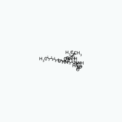 CCCCCCCCOCCC(=O)N[C@@H](CCCNC(=N)N[N+](=O)[O-])C(=O)NCCC(C)C